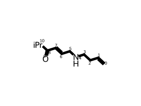 C=CCCNC/C=C/C(=O)C(C)C